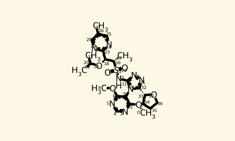 COc1ncnc(OC)c1-n1c(NS(=O)(=O)[C@@H](C)[C@@H](OC(C)C)c2ncc(C)cn2)nnc1[C@H]1CCCO1